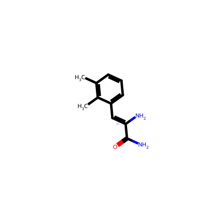 Cc1cccc(/C=C(\N)C(N)=O)c1C